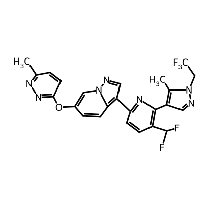 Cc1ccc(Oc2ccc3c(-c4ccc(C(F)F)c(-c5cnn(CC(F)(F)F)c5C)n4)cnn3c2)nn1